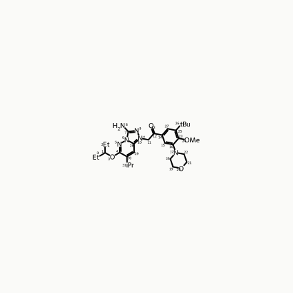 CCC(CC)Oc1nn2c(N)n[n+](CC(=O)c3cc(N4CCOCC4)c(OC)c(C(C)(C)C)c3)c2cc1C(C)C